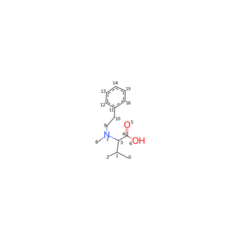 CC(C)C(C(=O)O)N(C)CCc1ccccc1